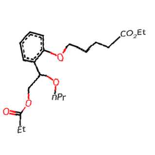 CCCOC(COC(=O)CC)c1ccccc1OCCCCC(=O)OCC